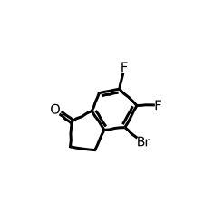 O=C1CCc2c1cc(F)c(F)c2Br